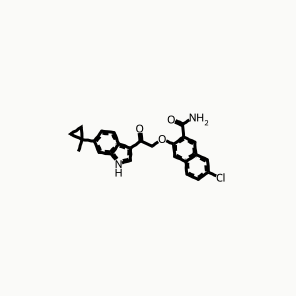 CC1(c2ccc3c(C(=O)COc4cc5ccc(Cl)cc5cc4C(N)=O)c[nH]c3c2)CC1